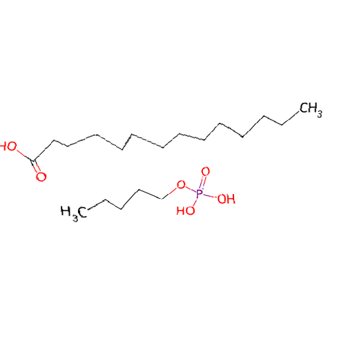 CCCCCCCCCCCCCC(=O)O.CCCCCOP(=O)(O)O